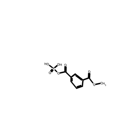 COC(=O)c1cccc(C(=O)OP(=O)(O)O)c1